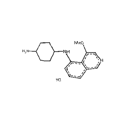 COc1cncc2cccc(NC3CCC(N)CC3)c12.Cl